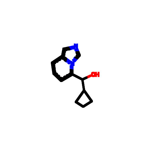 OC(c1cccc2cncn12)C1CCC1